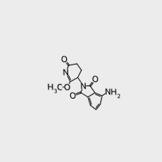 COC1=NC(=O)CCC1N1C(=O)c2cccc(N)c2C1=O